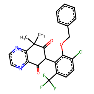 CC1(C)C(=O)C(c2c(C(F)(F)F)ccc(Cl)c2OCc2ccccc2)C(=O)c2nccnc21